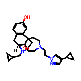 Oc1ccc2c(c1)[C@@]13CCN(CCn4cc(C5CC5)cn4)CC[C@@]1(O)[C@@H](C2)N(CC1CC1)CC3